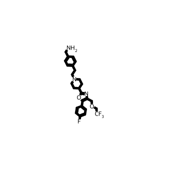 NCc1ccc(CCN2CCC(c3nc(COCC(F)(F)F)c(-c4ccc(F)cc4)o3)CC2)cc1